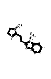 CN1CCN=C1CCc1nc2ccccc2n1C